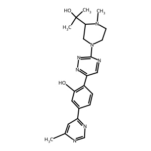 Cc1cc(-c2ccc(-c3cnc(N4CCN(C)C(C(C)(C)O)C4)nn3)c(O)c2)ncn1